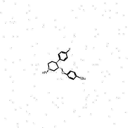 CCCN1CC[C@@H](c2ccc(F)cc2)[C@H](COc2ccc(C(C)(C)C)cc2)C1